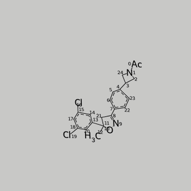 CC(=O)N1CC(c2ccc(C3=NOC(C)(c4cc(Cl)cc(Cl)c4)C3)cc2)C1